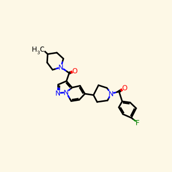 CC1CCN(C(=O)c2cnn3ccc(C4CCN(C(=O)c5ccc(F)cc5)CC4)cc23)CC1